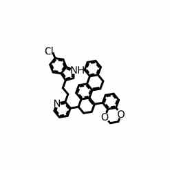 Clc1ccc2c(CCc3ncccc3C3CCC(c4cccc5c4OCCO5)=c4c3ccc3c4=CCc4ccccc4-3)c[nH]c2c1